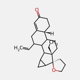 C=CC1CC2=CC(=O)CC[C@@H]2C2CC[C@@]3(CC)C(C4CC4[C@@]34CCCO4)C12